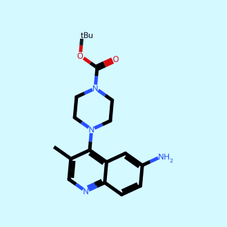 Cc1cnc2ccc(N)cc2c1N1CCN(C(=O)OC(C)(C)C)CC1